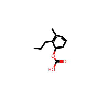 CCCc1c(C)cccc1OC(=O)O